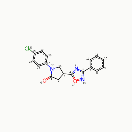 O=C1CC(c2nc(-c3ccccc3)no2)CN1c1ccc(Cl)cc1